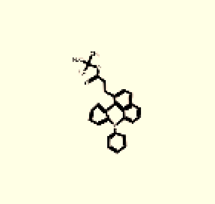 CC(C)(C)OC(=O)CCc1ccccc1-c1ccccc1P(c1ccccc1)c1ccccc1